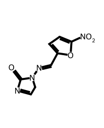 O=C1N=CCN1N=Cc1ccc([N+](=O)[O-])o1